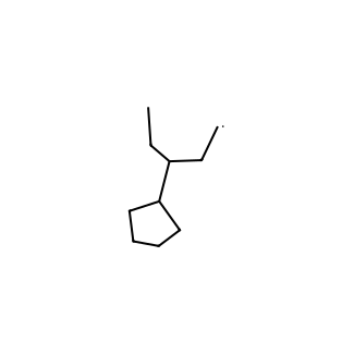 [CH2]CC(CC)C1CCCC1